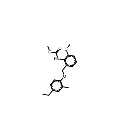 CCc1ccc(OCc2cccc(OC)c2NC(=O)OC)c(C)c1